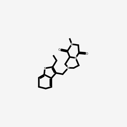 CCc1sc2c(c1CN1CCN3C(=O)CN(C)C(=O)C3C1)=CCCC=2